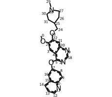 COc1cc2c(Oc3ccc4ncccc4c3)ncnc2cc1OCC1CCN(C)CC1